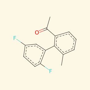 CC(=O)c1cccc(C)c1-c1cc(F)ccc1F